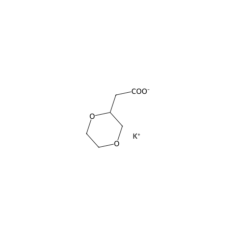 O=C([O-])CC1COCCO1.[K+]